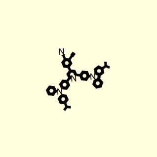 C#Cc1cc(-c2cc(-c3ccc(N(c4ccccc4)c4ccc(C(C)C)cc4)cc3)nc(-c3ccc(-n4c5ccccc5c5cc(C(C)C)ccc54)cc3)c2)ccc1C#N